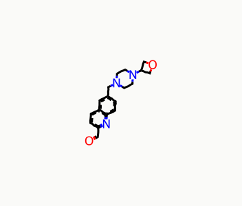 O=Cc1ccc2cc(CN3CCN(C4COC4)CC3)ccc2n1